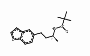 C[C@@H](CCc1ccc2occc2c1)N[S+]([O-])C(C)(C)C